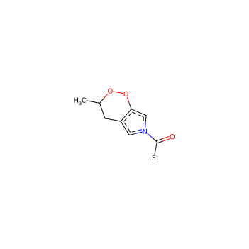 CCC(=O)n1cc2c(c1)OOC(C)C2